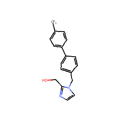 OCc1nccn1Cc1ccc(-c2ccc(C(F)(F)F)cc2)cc1